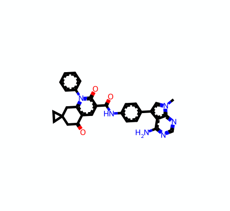 Cn1cc(-c2ccc(NC(=O)c3cc4c(n(-c5ccccc5)c3=O)CC3(CC3)CC4=O)cc2)c2c(N)ncnc21